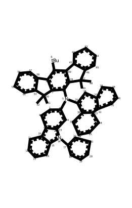 CC(C)(C)c1c2c(c(N(c3ccc4c5ccccc5n(-c5ccccc5)c4c3)c3cc4ccccc4c4ccccc34)c3c1-c1ccccc1C3(C)C)C(C)(C)c1ccccc1-2